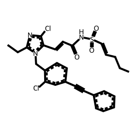 CCCC=CS(=O)(=O)NC(=O)C=Cc1c(Cl)nc(CC)n1Cc1ccc(C#Cc2ccccc2)cc1Cl